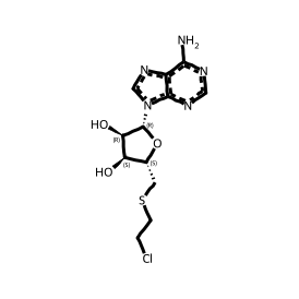 Nc1ncnc2c1ncn2[C@@H]1O[C@H](CSCCCl)[C@@H](O)[C@H]1O